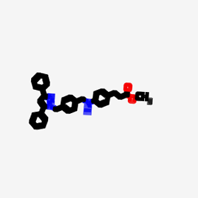 COC(=O)CCc1ccc(NCc2ccc(Cn3nc(-c4ccccc4)cc3-c3ccccc3)cc2)cc1